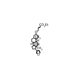 CCOC(=O)C=CCOC1CC[C@@]2(C)C(CC[C@@H]3[C@H]2CC[C@]2(C)C(c4ccoc4)CC[C@@]32O)C1